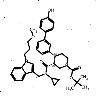 COCCCn1cc(CN(C(=O)[C@H]2CN(C(=O)OC(C)(C)C)CC[C@@H]2c2cccc(-c3ccc(O)cc3)c2)C2CC2)c2ccccc21